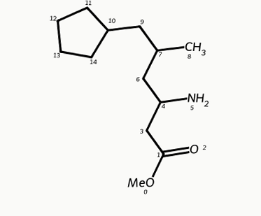 COC(=O)CC(N)CC(C)CC1CCCC1